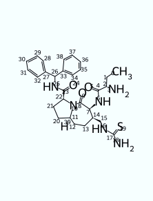 CC[C@H](N)C(=O)N[C@@H]1C(=O)N2[C@@H](CC[C@@H]1CNC(N)=S)CC[C@H]2C(=O)NC(c1ccccc1)c1ccccc1